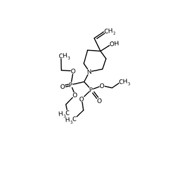 C=CC1(O)CCN(C(P(=O)(OCC)OCC)P(=O)(OCC)OCC)CC1